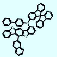 c1ccc(-c2ccc(N(c3ccc4c(c3)C3(c5ccccc5-c5ccccc53)c3ccccc3-4)c3cccc4oc5c(-c6ccc7ccccc7c6)c6c(cc5c34)oc3ccccc36)cc2)cc1